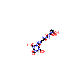 O=C(O)CN1CCN(CC(=O)O)CCN(CC(=O)NCCCCC(=O)NCC(=O)NCC(=O)N2CCC[C@H]2B(O)O)CCN(CC(=O)O)CC1